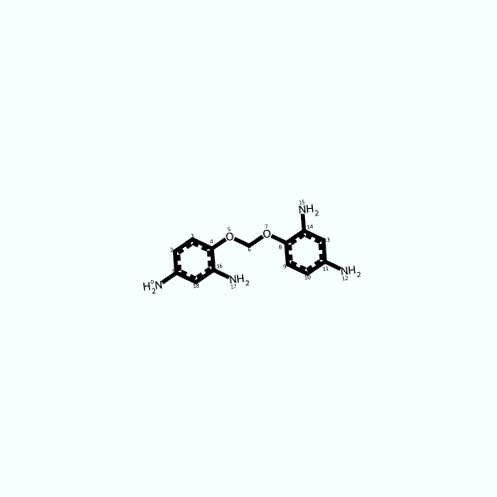 Nc1ccc(OCOc2ccc(N)cc2N)c(N)c1